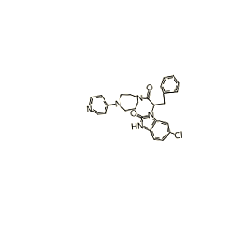 O=C(C(Cc1ccccc1)n1c(=O)[nH]c2ccc(Cl)cc21)N1CCN(c2ccncc2)CC1